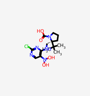 CC(C)(C)[C@]1(CNc2nc(Cl)ncc2N(O)O)CCCN1C(=O)O